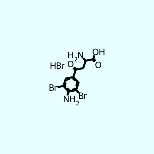 Br.Nc1c(Br)cc(C(=O)CC(N)C(=O)O)cc1Br